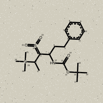 CC(C(C(CCc1ccccc1)NC(=O)OC(C)(C)C)=S(=O)=O)[Si](C)(C)C